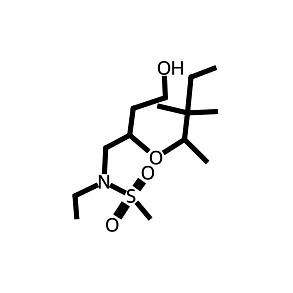 CCN(CC(CCO)OC(C)C(C)(C)CC)S(C)(=O)=O